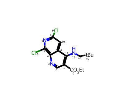 CCOC(=O)c1cnc2c(Cl)nc(Cl)cc2c1NCC(C)(C)C